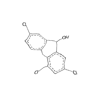 OC1c2cc(Cl)ccc2-c2c(Cl)cc(Cl)cc21